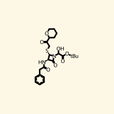 CC(C)(C)OC(=O)C(O)N1C(=O)[C@@H](NC(=O)Cc2ccccc2)[C@H]1SCC(=O)C1CCCCO1